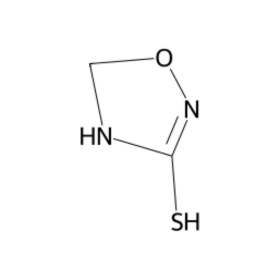 SC1=NOCN1